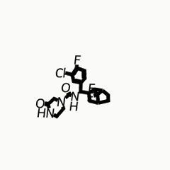 O=C1CN(C(=O)N[C@@H](c2ccc(F)c(Cl)c2)C2CC3CCC(C2)C3(F)F)CCN1